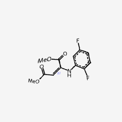 COC(=O)/C=C(/Nc1cc(F)ccc1F)C(=O)OC